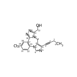 CCC#Cc1ncn2c1Cn1c(CO)nnc1-c1cc(Cl)ccc1-2